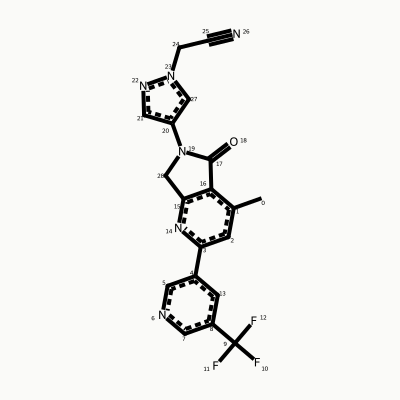 Cc1cc(-c2cncc(C(F)(F)F)c2)nc2c1C(=O)N(c1cnn(CC#N)c1)C2